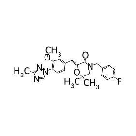 COc1cc(/C=C2\OC(C)(C)CN(Cc3ccc(F)cc3)C2=O)ccc1-n1cnc(C)n1